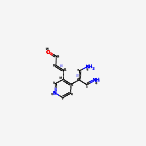 N=C/C(=C\N)c1ccncc1/C=C/C=O